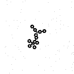 C1=CC(N(c2ccc(-c3ccccc3)cc2)c2ccc(-c3ccccc3)cc2)Cc2ccc(-c3cc4c(-c5ccccc5)c(-c5ccccc5)n(-c5ccccc5)c4c4ccccc34)cc21